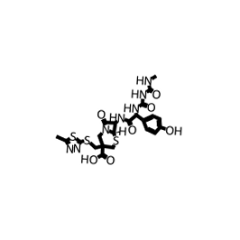 CNC(=O)NC(=O)NC(C(=O)NC1C(=O)N2CC(CSc3nnc(C)s3)(C(=O)O)CS[C@H]12)c1ccc(O)cc1